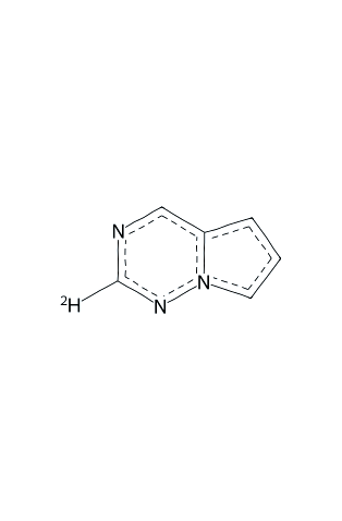 [2H]c1ncc2cccn2n1